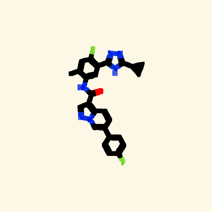 Cc1cc(F)c(-c2nnc(C3CC3)[nH]2)cc1NC(=O)c1cnn2cc(-c3ccc(F)cc3)ccc12